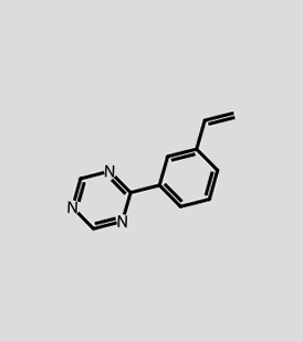 C=Cc1cccc(-c2ncncn2)c1